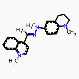 C/C(=N\N(C)c1ccc2c(c1)CCCN2C)c1cc[n+](C)c2ccccc12